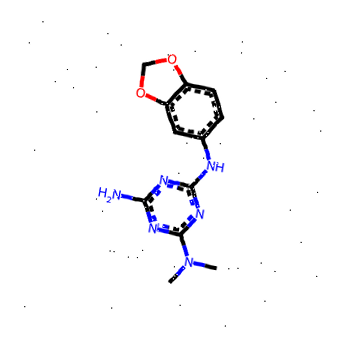 CN(C)c1nc(N)nc(Nc2ccc3c(c2)OCO3)n1